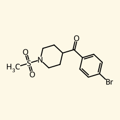 CS(=O)(=O)N1CCC(C(=O)c2ccc(Br)cc2)CC1